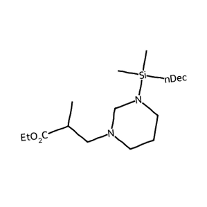 CCCCCCCCCC[Si](C)(C)N1CCCN(CC(C)C(=O)OCC)C1